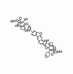 CCCC[C@H]1CC[C@@H](c2ncc(-c3ccc4c(c3)COc3cc5c(ccc6nc([C@@H]7CC[C@H](CC)N7C(=O)[C@@H](NC(=O)OC)C7CCOCC7)[nH]c65)cc3-4)[nH]2)N1C(=O)C(NC(=O)OC)C(C)C